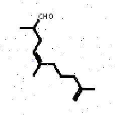 C=C(C)CCC/C(C)=C\CC(C)C=O